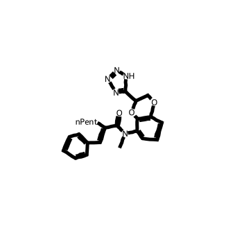 CCCCCC(=Cc1ccccc1)C(=O)N(C)c1cccc2c1OC(c1nnn[nH]1)CO2